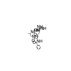 CC(CNC(=O)C(CCCNC(=N)N)NC(=O)c1ccccc1)N(C)C(=O)O